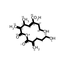 C=C(CCCO)C(=O)OC(=O)C(=C)C(C)C=C(CCO)C(=O)O